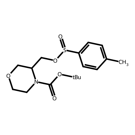 Cc1ccc(S(=O)OCC2COCCN2C(=O)OC(C)(C)C)cc1